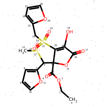 CCOC(=O)C1(C(c2ccco2)[S+](C)[O-])OC(=O)C(O)=C1S(=O)(=O)Cc1ccco1